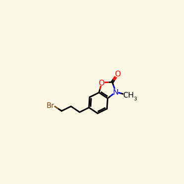 Cn1c(=O)oc2cc(CCCBr)ccc21